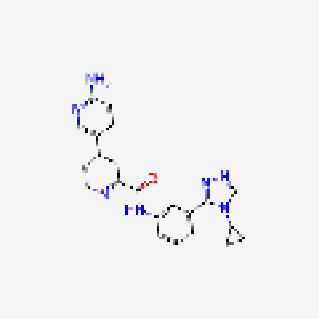 Nc1ccc(C2C=CN=C(C(=O)Nc3cccc(-c4nncn4C4CC4)c3)C2)cn1